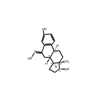 C[C@]12CC[C@@H]3c4ccc(O)cc4C(=NO)C[C@H]3[C@@H]1CC[C@@H]2O